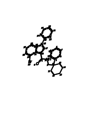 O=C(NCC1(c2cccnc2)CCCCC1)c1cn(-c2ncccn2)c2cccc(Br)c12